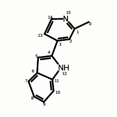 Cc1cc(-c2cc3ccccc3[nH]2)ccn1